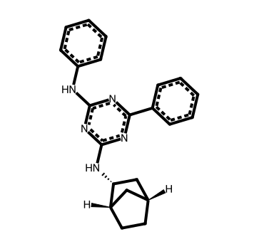 c1ccc(Nc2nc(N[C@@H]3C[C@@H]4CC[C@H]3C4)nc(-c3ccccc3)n2)cc1